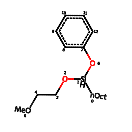 CCCCCCCC[SiH](OCCOC)Oc1ccccc1